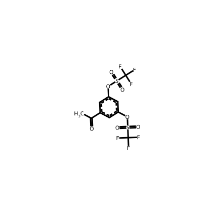 CC(=O)c1cc(OS(=O)(=O)C(F)(F)F)cc(OS(=O)(=O)C(F)(F)F)c1